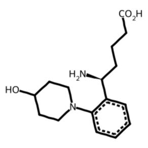 N[C@@H](CCCC(=O)O)c1ccccc1N1CCC(O)CC1